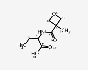 CCC(NC(=O)C1(C)COC1)C(=O)O